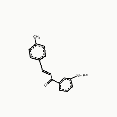 CC(=O)Nc1cccc(C(=O)C=Cc2ccc(C)cc2)c1